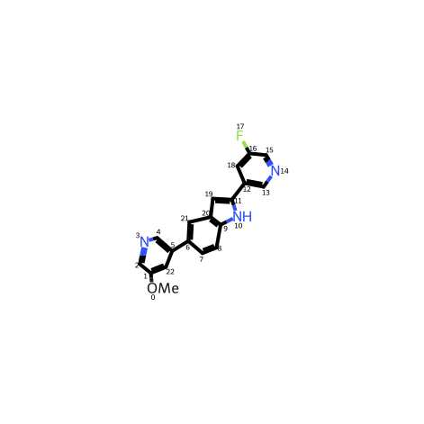 COc1cncc(-c2ccc3[nH]c(-c4cncc(F)c4)cc3c2)c1